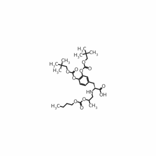 CCCCOC(=O)OC(C)CN[C@@H](Cc1ccc(OC(=O)OCC(C)(C)C)c(OC(=O)OCC(C)(C)C)c1)C(=O)O